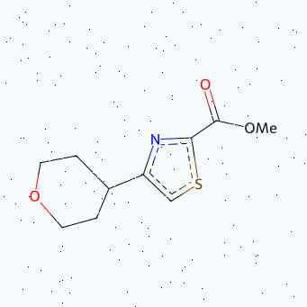 COC(=O)c1nc(C2CCOCC2)cs1